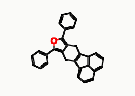 c1ccc(-c2oc(-c3ccccc3)c3c2CC2=C(C3)c3cccc4cccc2c34)cc1